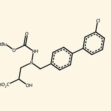 CC(C)(C)OC(=O)NN(Cc1ccc(-c2cccc(Cl)c2)cc1)CC(O)C(=O)O